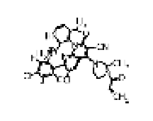 C=CC(=O)N1CCN(c2c(C#N)c(=O)n(C3=C(C)C=CNC3C(C)C)c3nc(-c4c(N)c(F)c(Cl)c(F)c4Cl)c(Cl)cc23)C[C@H]1C